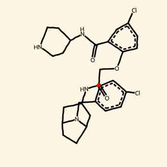 O=C(COc1ccc(Cl)cc1C(=O)NC1CCNCC1)NC1CC2CCC(C1)N2Cc1ccc(Cl)cc1